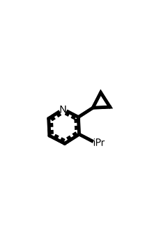 CC(C)c1cccnc1C1CC1